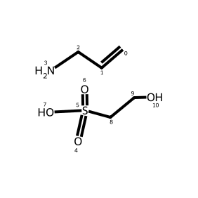 C=CCN.O=S(=O)(O)CCO